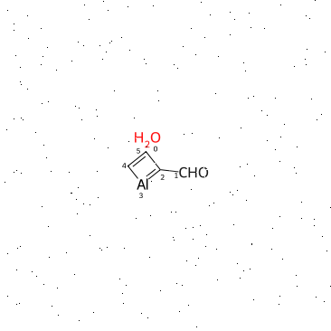 O.O=C[C]1=[Al][CH]=C1